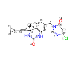 O=C1Nc2cc(Cn3cnc(Cl)cc3=O)ccc2C(C#CC2CC2)(C(F)(F)F)N1